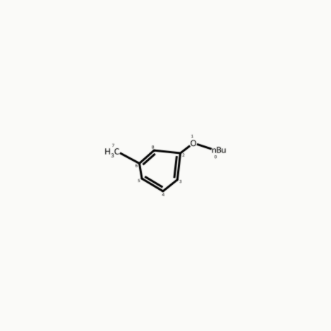 CCCCOc1cccc(C)c1